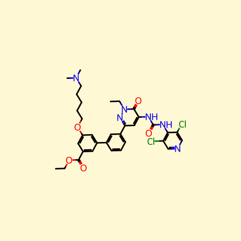 CCOC(=O)c1cc(OCCCCCN(C)C)cc(-c2cccc(-c3cc(NC(=O)Nc4c(Cl)cncc4Cl)c(=O)n(CC)n3)c2)c1